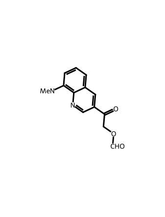 CNc1cccc2cc(C(=O)COC=O)cnc12